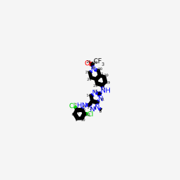 Cn1nc(Nc2c(Cl)cccc2Cl)c2cnc(Nc3ccc4c(c3)CCN(C(=O)C(F)(F)F)C4)nc21